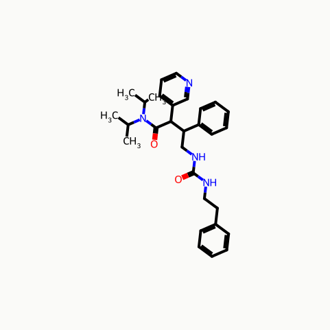 CC(C)N(C(=O)C(c1cccnc1)C(CNC(=O)NCCc1ccccc1)c1ccccc1)C(C)C